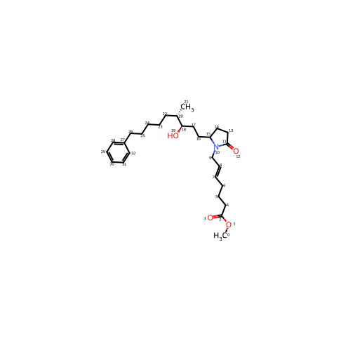 COC(=O)CCCC=CCN1C(=O)CCC1CC[C@@H](O)[C@@H](C)CCCCCc1ccccc1